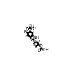 CS(=O)(=O)c1cc2[nH]c(-n3cc(OC(=O)O)cn3)nc2cc1F